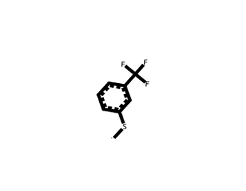 [CH2]Sc1cccc(C(F)(F)F)c1